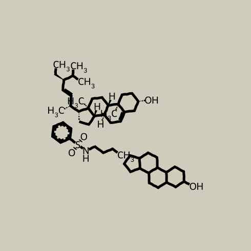 CCCCNS(=O)(=O)c1ccccc1.CC[C@H](/C=C/[C@@H](C)[C@H]1CC[C@H]2[C@@H]3CC=C4C[C@@H](O)CC[C@]4(C)[C@H]3CC[C@]12C)C(C)C.OC1CCC2C(CCC3C4CCCC4CCC23)C1